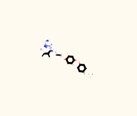 CSc1ccc(Oc2ccc(OCCNc3c(C)c(C)nc4ncnn34)cc2)cc1